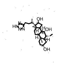 CC[C@H]1[C@@H](O)[C@@H]2[C@H](CC[C@]3(C)[C@@H]([C@H](C)CCc4nn[nH]n4)[C@@H](O)C[C@@H]23)[C@@]2(C)CC[C@@H](O)C[C@@H]12